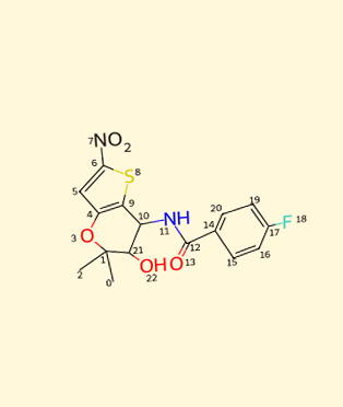 CC1(C)Oc2cc([N+](=O)[O-])sc2C(NC(=O)c2ccc(F)cc2)C1O